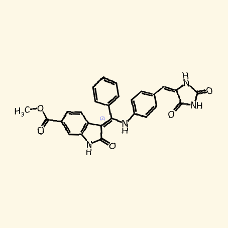 COC(=O)c1ccc2c(c1)NC(=O)/C2=C(\Nc1ccc(C=C2NC(=O)NC2=O)cc1)c1ccccc1